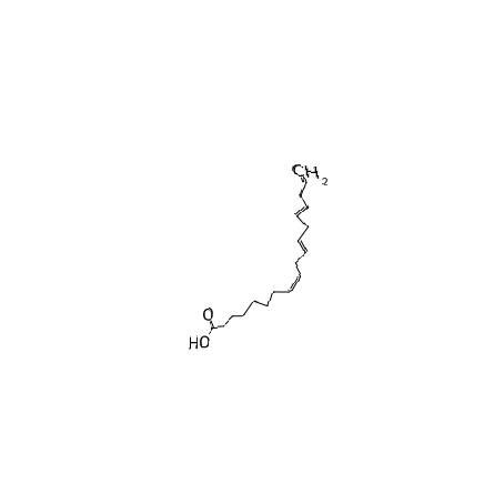 C=CCC=CCC=CC/C=C\CCCCCCC(=O)O